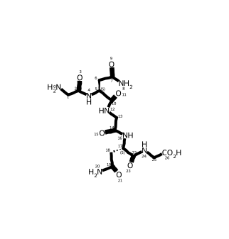 NCC(=O)N[C@@H](CC(N)=O)C(=O)NCC(=O)N[C@@H](CC(N)=O)C(=O)NCC(=O)O